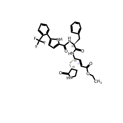 CCOC(=O)/C=C/[C@H](C[C@@H]1CCNC1=O)NC(=O)[C@H](Cc1ccccc1)NC(=O)c1ccc(-c2ccccc2C(F)(F)F)[nH]1